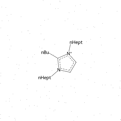 CCCCCCCn1cc[n+](CCCCCCC)c1CCCC